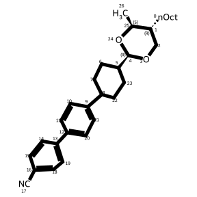 CCCCCCCC[C@@H]1CO[C@@H](C2CCC(c3ccc(-c4ccc(C#N)cc4)cc3)CC2)O[C@H]1C